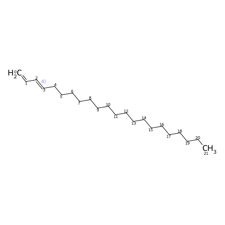 C=C/C=C/CCCCCCCCCCCCCCCCCC